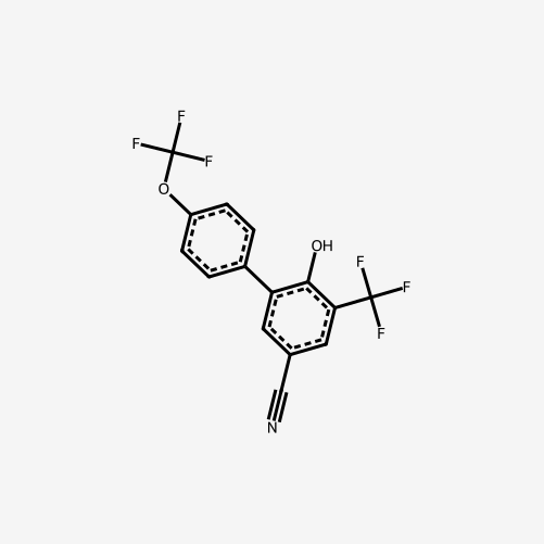 N#Cc1cc(-c2ccc(OC(F)(F)F)cc2)c(O)c(C(F)(F)F)c1